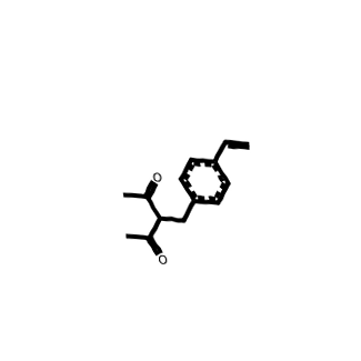 C=Cc1ccc(CC(C(C)=O)C(C)=O)cc1